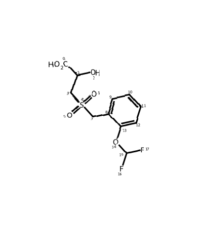 O=C(O)C(O)CS(=O)(=O)Cc1ccccc1OC(F)F